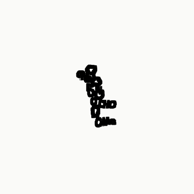 COc1ccc(OC2CCCN(c3ccc(-c4ccccc4S(C)(=O)=O)cc3F)C2=O)c(C=O)c1